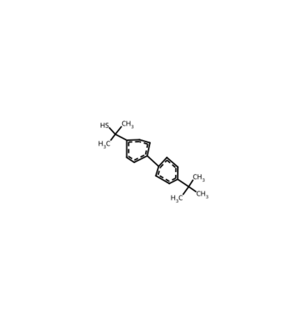 CC(C)(C)c1ccc(-c2ccc(C(C)(C)S)cc2)cc1